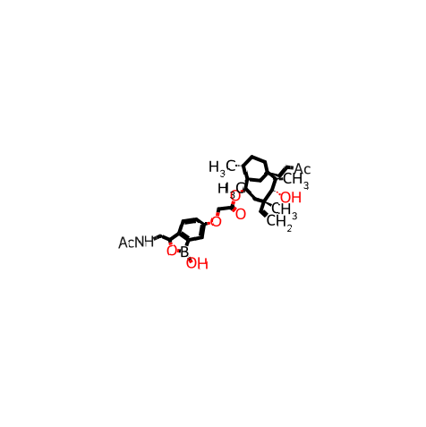 C=C[C@]1(C)C[C@@H](OC(=O)COc2ccc3c(c2)B(O)OC3CNC(C)=O)[C@@]2(C)C[C@](CCC(C)=O)(CC[C@H]2C)[C@@H](C)[C@@H]1O